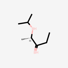 B=C(CC)[C@H](C)BC(C)C